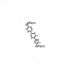 CCCCCCCCCOc1ccc(-c2ccc(-c3ccc(CCCCC)s3)cc2)cc1